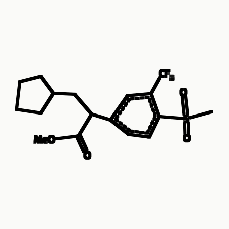 COC(=O)C(CC1CCCC1)c1ccc(S(C)(=O)=O)c(C(F)(F)F)c1